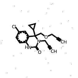 C#CCOCC1(C2CC2)c2cc(Cl)ccc2NC(=O)N1CC#C